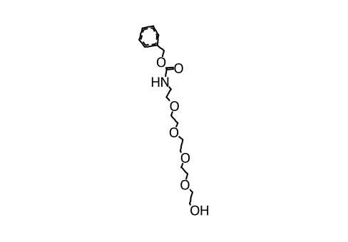 O=C(NCCOCCOCCOCCOCCO)OCc1ccccc1